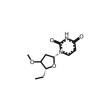 CC[C@H]1O[C@@H](n2ccc(=O)[nH]c2=O)CC1OC